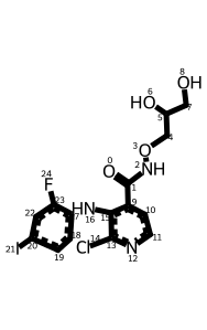 O=C(NOCC(O)CO)c1ccnc(Cl)c1Nc1ccc(I)cc1F